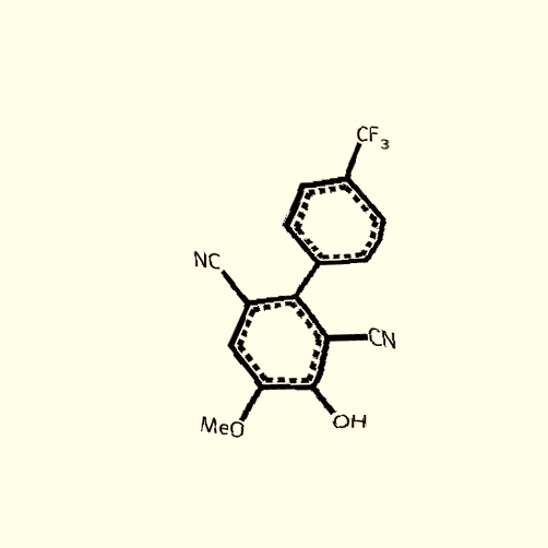 COc1cc(C#N)c(-c2ccc(C(F)(F)F)cc2)c(C#N)c1O